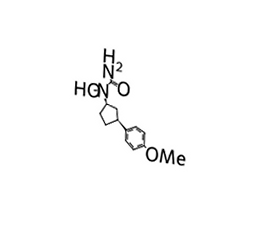 COc1ccc([C@H]2CC[C@@H](N(O)C(N)=O)C2)cc1